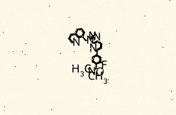 CN(C)C(=O)c1ccc(-c2ccc3nnn(Cc4cccc5cccnc45)c3n2)cc1F